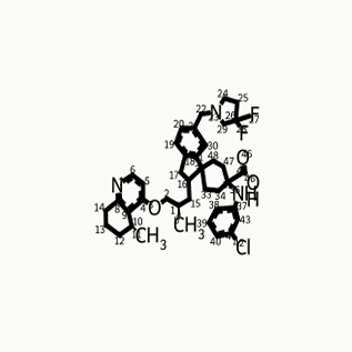 C[C@@H](COc1ccnc2c1[C@H](C)CCC2)CC1Cc2ccc(CN3CCC(F)(F)C3)cc2C12CCC(Nc1cccc(Cl)c1)(C(=O)O)CC2